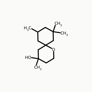 CC1CC(C)(C)CC2(C1)CC(C)(O)CCO2